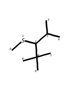 CSC(C(C)C)C(C)(C)C